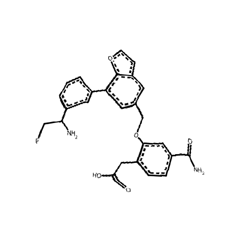 NC(=O)c1ccc(CC(=O)O)c(OCc2cc(-c3cccc(C(N)CF)c3)c3occc3c2)c1